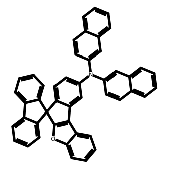 c1ccc2c(c1)-c1ccccc1C21c2ccc(N(c3ccc4ccccc4c3)c3ccc4ccccc4c3)cc2-c2c1oc1ccccc21